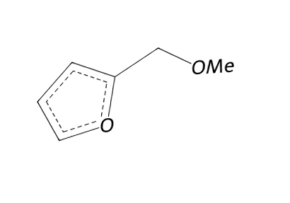 [CH2-][OH+]Cc1ccco1